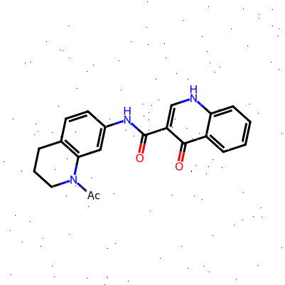 CC(=O)N1CCCc2ccc(NC(=O)c3c[nH]c4ccccc4c3=O)cc21